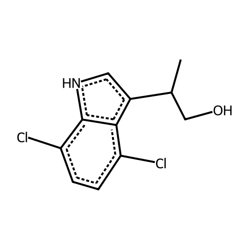 CC(CO)c1c[nH]c2c(Cl)ccc(Cl)c12